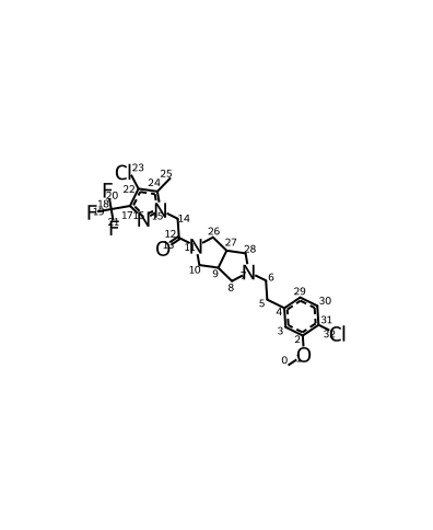 COc1cc(CCN2CC3CN(C(=O)Cn4nc(C(F)(F)F)c(Cl)c4C)CC3C2)ccc1Cl